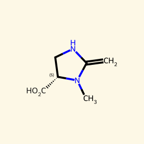 C=C1NC[C@@H](C(=O)O)N1C